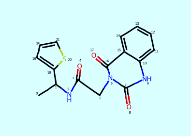 CC(NC(=O)Cn1c(=O)[nH]c2ccccc2c1=O)c1cccs1